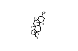 C[C@]12CC[C@H]3[C@@H](CC4OC45C[C@@H](O)CC[C@]35C)[C@@H]1CCC2=O